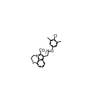 Cc1cc(OCCc2c(C(=O)O)n3c4c(cccc24)SCC3)cc(C)c1Cl